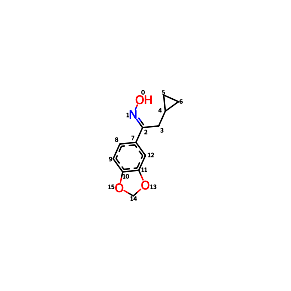 ON=C(CC1CC1)c1ccc2c(c1)OCO2